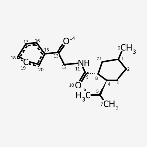 CC1CC[C@@H](C(C)C)[C@H](C(=O)NCC(=O)c2ccccc2)C1